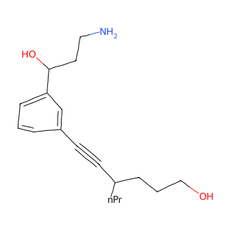 CCCC(C#Cc1cccc(C(O)CCN)c1)CCCO